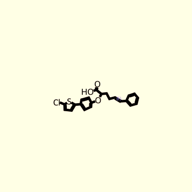 O=C(O)C(CC/C=C/c1ccccc1)Oc1ccc(-c2ccc(Cl)s2)cc1